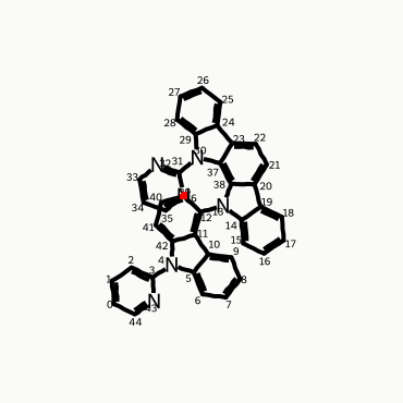 c1ccc(-n2c3ccccc3c3c(-n4c5ccccc5c5ccc6c7ccccc7n(-c7ncccn7)c6c54)cccc32)nc1